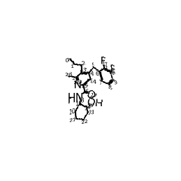 CCCc1c(Cc2cccc(F)c2F)cc(C(=O)NC2CCCCC2O)nc1C